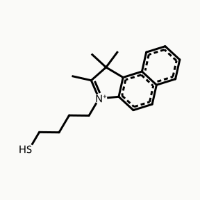 CC1=[N+](CCCCS)c2ccc3ccccc3c2C1(C)C